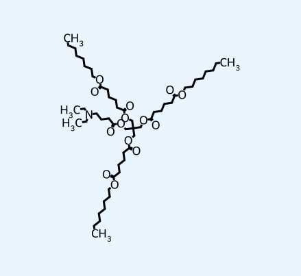 CCCCCCCCOC(=O)CCCCC(=O)OCC(COC(=O)CCCCC(=O)OCCCCCCCC)(COC(=O)CCCCC(=O)OCCCCCCCC)COC(=O)CCCN(CC)CC